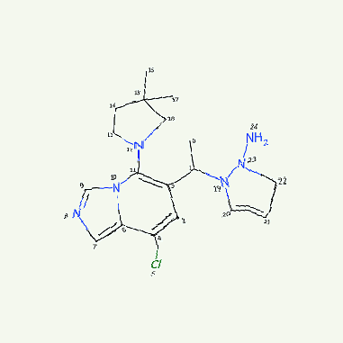 CC(c1cc(Cl)c2cncn2c1N1CCC(C)(C)C1)N1C=CCN1N